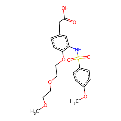 COCCOCCOc1ccc(CC(=O)O)cc1NS(=O)(=O)c1ccc(OC)cc1